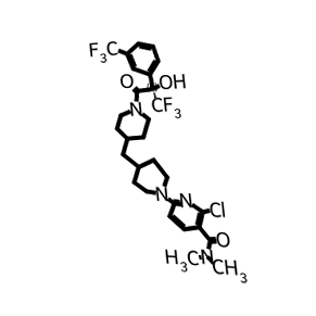 CN(C)C(=O)c1ccc(N2CCC(CC3CCN(C(=O)[C@](O)(c4cccc(C(F)(F)F)c4)C(F)(F)F)CC3)CC2)nc1Cl